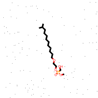 COP(=O)(CO)OCCOCCCCCCCCCCC(C)C